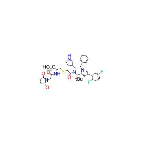 CC(C)(C)C(c1cc(-c2cc(F)ccc2F)cn1Cc1ccccc1)N(CC1CCNC1)C(=O)CSCC(NC(=O)CN1C(=O)C=CC1=O)C(=O)O